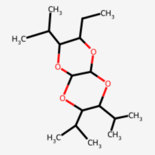 CCC1OC2OC(C(C)C)C(C(C)C)OC2OC1C(C)C